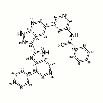 O=C(Nc1cncc(-c2cnc3[nH]nc(-c4nc5c(-c6ccncc6)cncc5[nH]4)c3c2)c1)c1ccccc1